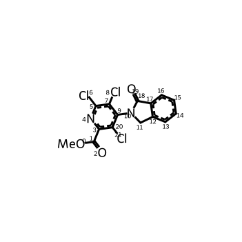 COC(=O)c1nc(Cl)c(Cl)c(N2Cc3ccccc3C2=O)c1Cl